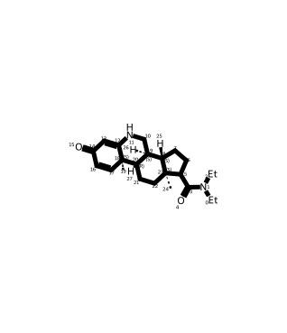 CCN(CC)C(=O)C1CC[C@H]2[C@@H]3CNC4=CC(=O)C=C[C@]4(C)[C@@H]3CC[C@]12C